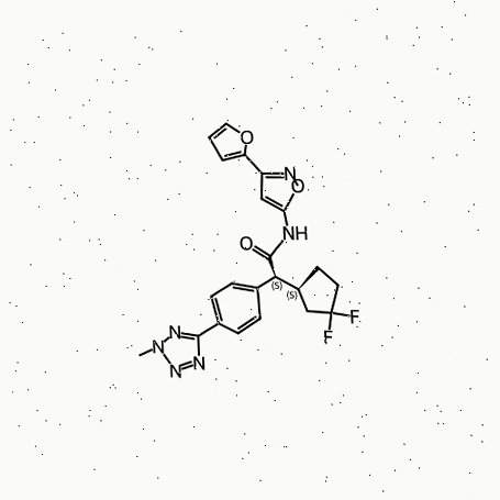 Cn1nnc(-c2ccc([C@@H](C(=O)Nc3cc(-c4ccco4)no3)[C@H]3CCC(F)(F)C3)cc2)n1